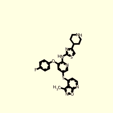 Cc1noc2nccc(Sc3cnc(Nc4nc(C5CCNCC5)cs4)c(Oc4ccc(F)cc4)c3)c12